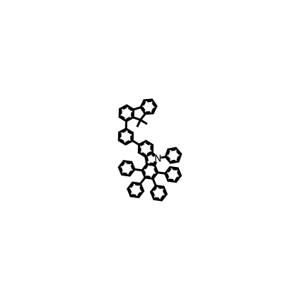 CC1(C)c2ccccc2-c2cccc(-c3cccc(-c4ccc5c(c4)c4c(-c6ccccc6)c(-c6ccccc6)c(-c6ccccc6)c(-c6ccccc6)c4n5-c4ccccc4)c3)c21